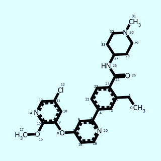 CCc1cc(-c2cc(Oc3cc(Cl)cnc3OC)ccn2)ccc1C(=O)NC1CCN(C)CC1